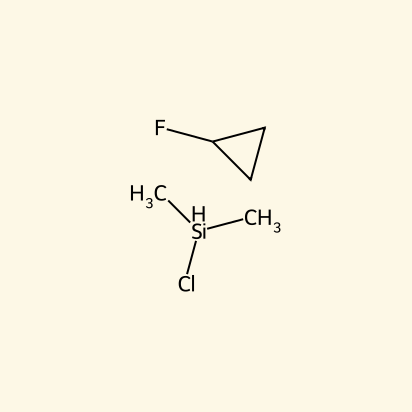 C[SiH](C)Cl.FC1CC1